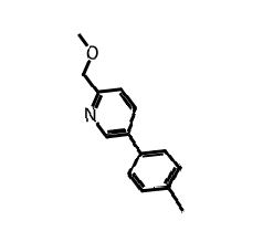 COCc1ccc(-c2ccc(C)cc2)cn1